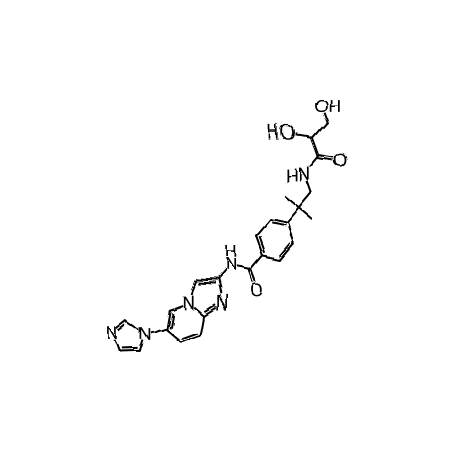 CC(C)(CNC(=O)C(O)CO)c1ccc(C(=O)Nc2cn3cc(-n4ccnc4)ccc3n2)cc1